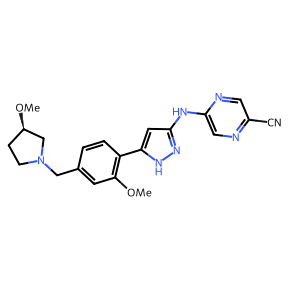 COc1cc(CN2CC[C@@H](OC)C2)ccc1-c1cc(Nc2cnc(C#N)cn2)n[nH]1